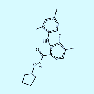 Cc1cc(I)ccc1Nc1c(C(=O)NOC2CCCC2)ccc(F)c1F